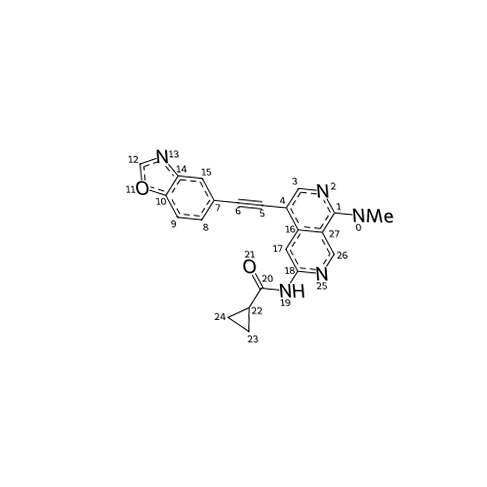 CNc1ncc(C#Cc2ccc3ocnc3c2)c2cc(NC(=O)C3CC3)ncc12